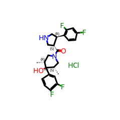 C[C@@H]1CN(C(=O)[C@@H]2CNC[C@H]2c2ccc(F)cc2F)C[C@H](C)[C@]1(O)c1ccc(F)c(F)c1.Cl